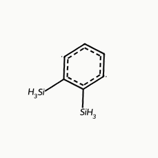 [SiH3]c1[c]cc[c]c1[SiH3]